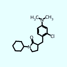 CN(C)c1ccc(CC2CCN(C3CCCCC3)C2=O)c(Cl)c1